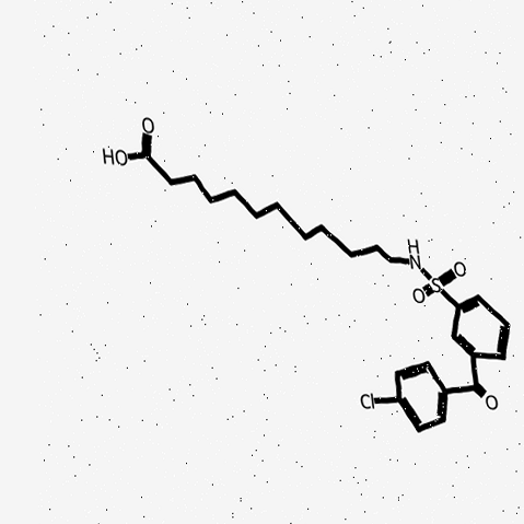 O=C(O)CCCCCCCCCCCNS(=O)(=O)c1cccc(C(=O)c2ccc(Cl)cc2)c1